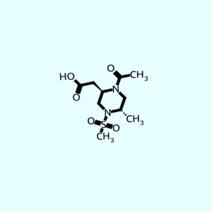 CC(=O)N1C[C@H](C)N(S(C)(=O)=O)C[C@H]1CC(=O)O